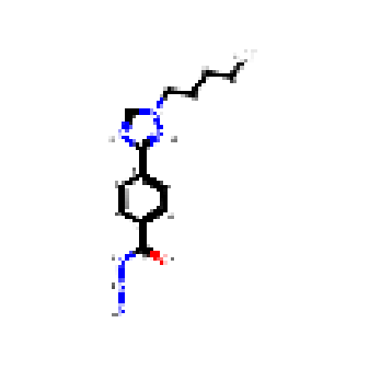 [N-]=[N+]=NC(=O)c1ccc(-c2ncn(CCCCC(F)(F)F)n2)cc1